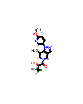 COc1ccc(-n2ncc3c2C(C)CN(C(=O)C(O)C(F)(F)F)C3)cn1